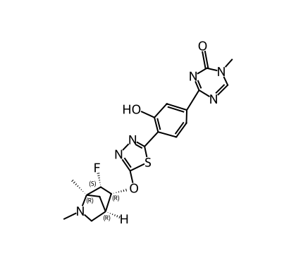 CN1C[C@H]2C[C@]1(C)[C@H](F)[C@@H]2Oc1nnc(-c2ccc(-c3ncn(C)c(=O)n3)cc2O)s1